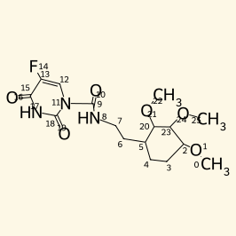 COC1CCC(CCNC(=O)n2cc(F)c(=O)[nH]c2=O)C(OC)C1OC